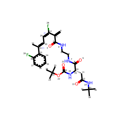 C=C(C(=O)NCCNC(=O)[C@H](CC(=O)NC(C)(C)C)NC(=O)OC(C)(C)C)/C(F)=C\C=C(/C)c1ccccc1F